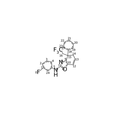 Fc1cccc(Nc2nc3c(o2)C=CCC3(CC(F)(F)F)c2ccccc2)c1